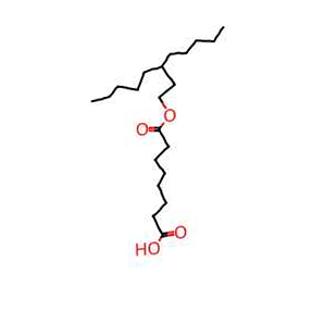 CCCCCC(CCCCC)CCOC(=O)CCCCCCC(=O)O